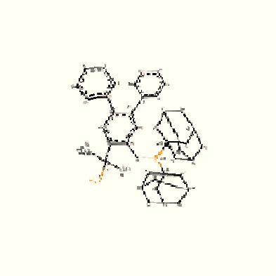 CC(C)(C)C(P)(c1cc(-c2ccccc2)c(-c2ccccc2)cc1CP(C12CC3CC(CC(C3)C1)C2)C12CC3CC(CC(C3)C1)C2)C(C)(C)C